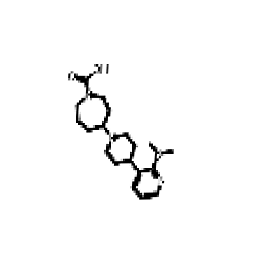 CN(C)c1ncccc1C1CCN(C2CCCN(C(=O)O)CC2)CC1